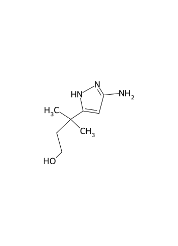 CC(C)(CCO)c1cc(N)n[nH]1